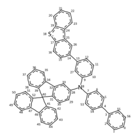 c1ccc(-c2ccc(N(c3cccc(-c4ccc5sc6ccccc6c5c4)c3)c3ccc4c(c3)-c3ccccc3C43c4ccccc4-c4ccccc43)cc2)cc1